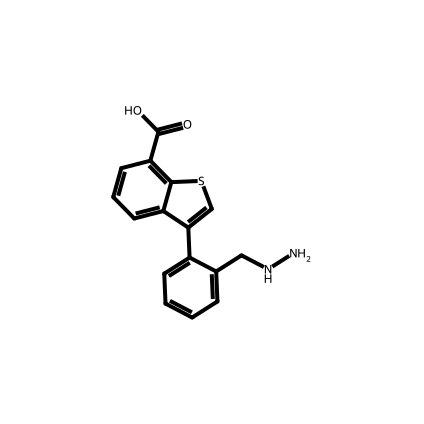 NNCc1ccccc1-c1csc2c(C(=O)O)cccc12